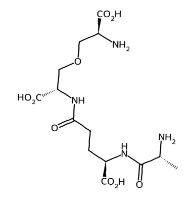 C[C@@H](N)C(=O)N[C@H](CCC(=O)N[C@@H](COC[C@H](N)C(=O)O)C(=O)O)C(=O)O